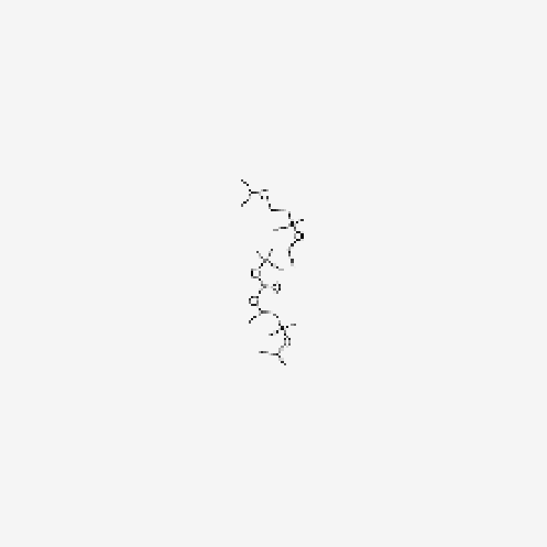 CC(C)OCCC(C)(C)OC(C)CC(C)(C)OC(=O)OC(C)CC(C)(C)OC(C)C